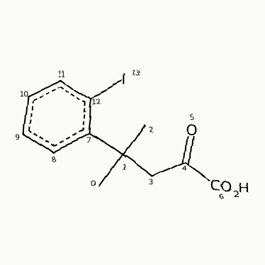 CC(C)(CC(=O)C(=O)O)c1ccccc1I